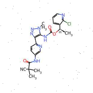 C[C@@H](OC(=O)Nc1c(-c2ccc(NC(=O)C(C)(C)C#N)cn2)nnn1C)c1cccnc1Cl